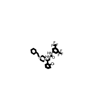 COc1ccccc1C(CNC(=O)Nc1cc(C(F)(F)F)cc(C(F)(F)F)c1)N1CCN(CCC2CCCCC2)CC1